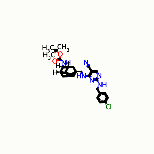 CC(C)(C)OC(=O)N[C@@H]1[C@@H]2CC3C[C@H]1C[C@@](CNc1nc(NCc4ccc(Cl)cc4)ncc1C#N)(C3)C2